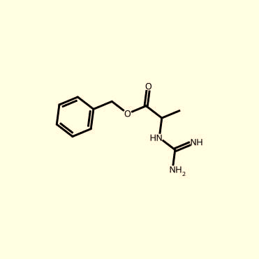 CC(NC(=N)N)C(=O)OCc1ccccc1